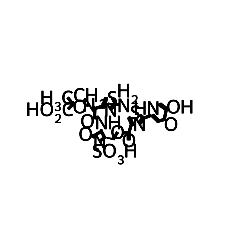 CC(C)(O/N=C(\C(=O)N[C@@H]1C(=O)N(S(=O)(=O)O)[C@@H]1COC(=O)c1csc(-c2cc(=O)c(O)c[nH]2)n1)c1csc(N)n1)C(=O)O